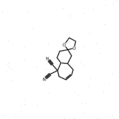 N#CC1(C#N)CC=CCC2CC3(CCC21)OCCO3